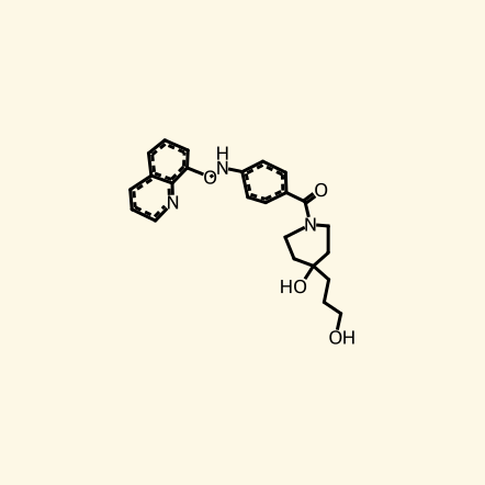 O=C(c1ccc(NOc2cccc3cccnc23)cc1)N1CCC(O)(CCCO)CC1